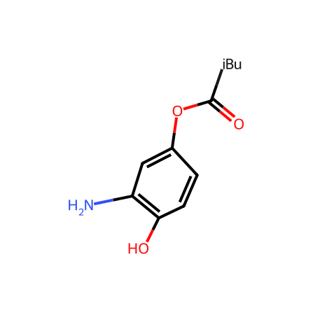 CCC(C)C(=O)Oc1ccc(O)c(N)c1